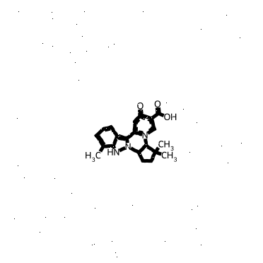 CC1=CC=CC2=C3c4cc(=O)c(C(=O)O)cn4C4C(CCC4(C)C)N3NC12